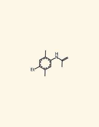 C=C(C)Nc1cc(C)c(CC)cc1C